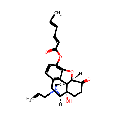 C=CCN1CC[C@]23c4c5ccc(OC(=O)/C=C/C=C/C)c4O[C@H]2C(=O)CC[C@@]3(O)[C@H]1C5